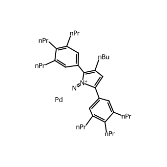 CCCCC1=C(c2cc(CCC)c(CCC)c(CCC)c2)[N+](=[N-])C(c2cc(CCC)c(CCC)c(CCC)c2)=C1.[Pd]